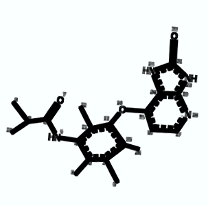 Cc1c(C)c(NC(=O)C(C)C)c(C)c(Oc2ccnc3[nH]c(=O)[nH]c23)c1C